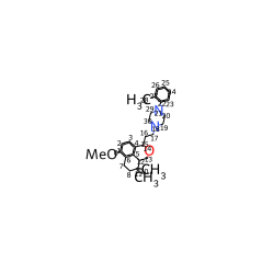 COc1ccc2c3c1CCC(C)(C)C3COC2CCN1CCN(c2ccccc2C)CC1